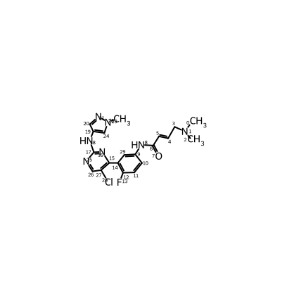 CN(C)C/C=C/C(=O)Nc1ccc(F)c(-c2nc(Nc3cnn(C)c3)ncc2Cl)c1